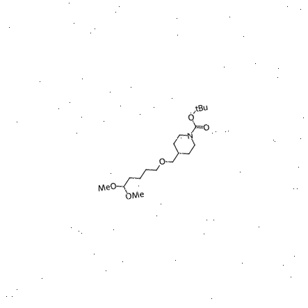 COC(CCCCOCC1CCN(C(=O)OC(C)(C)C)CC1)OC